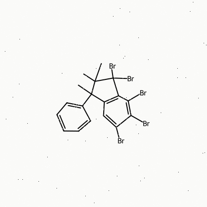 CC1(c2ccccc2)c2cc(Br)c(Br)c(Br)c2C(Br)(Br)C1(C)C